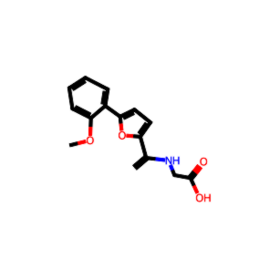 C=C(NCC(=O)O)c1ccc(-c2ccccc2OC)o1